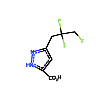 O=C(O)c1cc(CC(F)(F)CF)n[nH]1